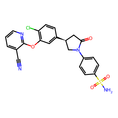 N#Cc1cccnc1Oc1cc([C@H]2CC(=O)N(c3ccc(S(N)(=O)=O)cc3)C2)ccc1Cl